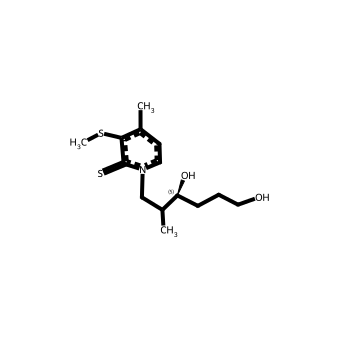 CSc1c(C)ccn(CC(C)[C@@H](O)CCCO)c1=S